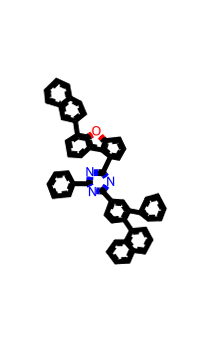 c1ccc(-c2nc(-c3ccc(-c4cccc5ccccc45)c(-c4ccccc4)c3)nc(-c3cccc4oc5c(-c6ccc7ccccc7c6)cccc5c34)n2)cc1